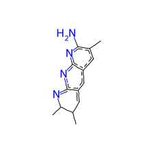 Cc1cc2cc3c(nc2nc1N)=NC(C)C(C)C=3